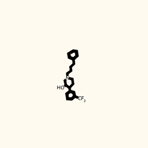 OC1CN(CCCCc2ccccc2)CCC1c1cccc(C(F)(F)F)c1